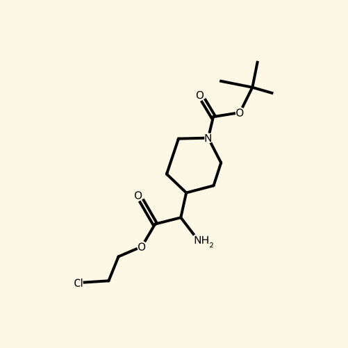 CC(C)(C)OC(=O)N1CCC(C(N)C(=O)OCCCl)CC1